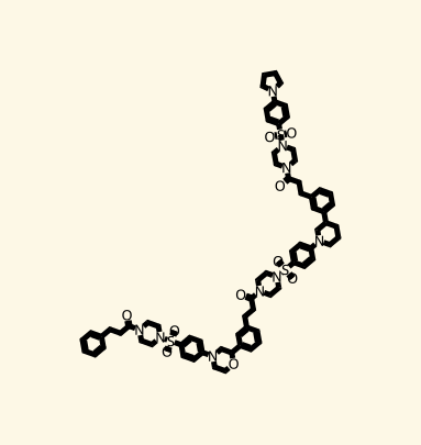 O=C(CCc1ccccc1)N1CCN(S(=O)(=O)c2ccc(N3CCOC(c4cccc(CCC(=O)N5CCN(S(=O)(=O)c6ccc(N7CCCC(c8cccc(CCC(=O)N9CCN(S(=O)(=O)c%10ccc(N%11CCCC%11)cc%10)CC9)c8)C7)cc6)CC5)c4)C3)cc2)CC1